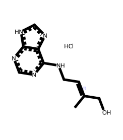 C/C(=C\CNc1ncnc2[nH]cnc12)CO.Cl